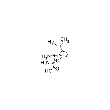 CCC(CC)c1cccc(O/C(NN)=C(/N)C(=O)O)c1